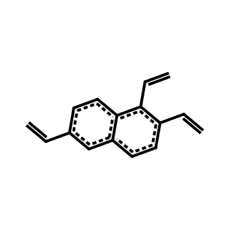 C=Cc1ccc2c(C=C)c(C=C)ccc2c1